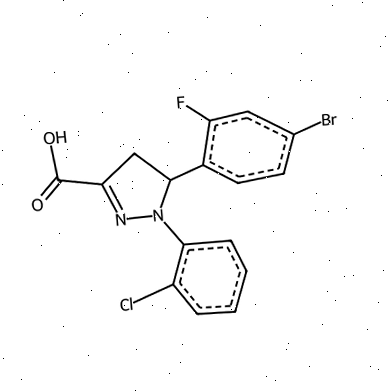 O=C(O)C1=NN(c2ccccc2Cl)C(c2ccc(Br)cc2F)C1